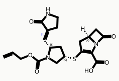 C=CCOC(=O)N1C[C@@H](SC2=C(C(=O)O)N3C(=O)C[C@@H]3C2)C[C@H]1/C=C1\CCNC1=O